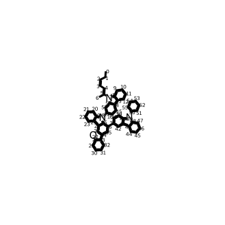 CC/C=C\C=C(/C)n1c2ccccc2c2ccc(-n3c4ccccc4c4c5oc6ccccc6c5cc(-c5ccc6c(c5)c5ccccc5n6-c5ccccc5)c43)cc21